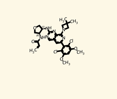 C=CC(=O)N[C@H]1COC[C@H]1Nc1ncc2cc(-c3c(Cl)c(OC)cc(OC)c3Cl)nc(N3CC(C)(C)C3)c2n1